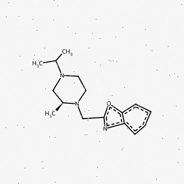 CC(C)N1CCN(Cc2nc3ccccc3o2)[C@@H](C)C1